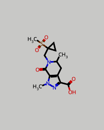 CC1Cc2c(C(=O)O)nn(C)c2C(=O)N1CC1(S(C)(=O)=O)CC1